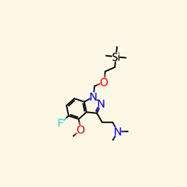 COc1c(F)ccc2c1c(CCN(C)C)nn2COCC[Si](C)(C)C